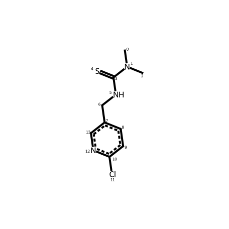 CN(C)C(=S)NCc1ccc(Cl)nc1